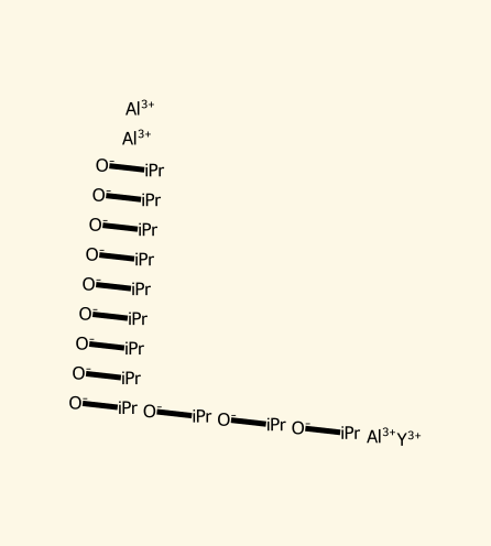 CC(C)[O-].CC(C)[O-].CC(C)[O-].CC(C)[O-].CC(C)[O-].CC(C)[O-].CC(C)[O-].CC(C)[O-].CC(C)[O-].CC(C)[O-].CC(C)[O-].CC(C)[O-].[Al+3].[Al+3].[Al+3].[Y+3]